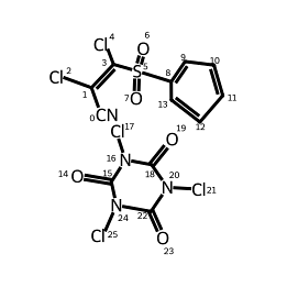 N#C/C(Cl)=C(/Cl)S(=O)(=O)c1ccccc1.O=c1n(Cl)c(=O)n(Cl)c(=O)n1Cl